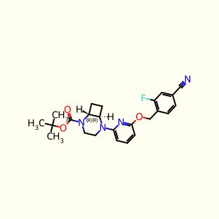 CC(C)(C)OC(=O)N1CCN(c2cccc(OCc3ccc(C#N)cc3F)n2)[C@@H]2CC[C@H]21